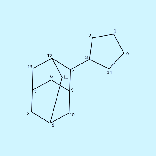 C1CCC(C2[C]3CC4CC(C3)CC2C4)C1